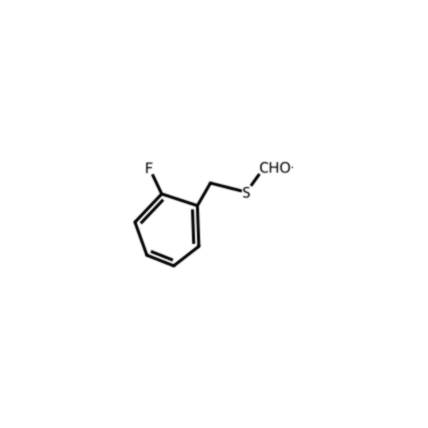 O=[C]SCc1ccccc1F